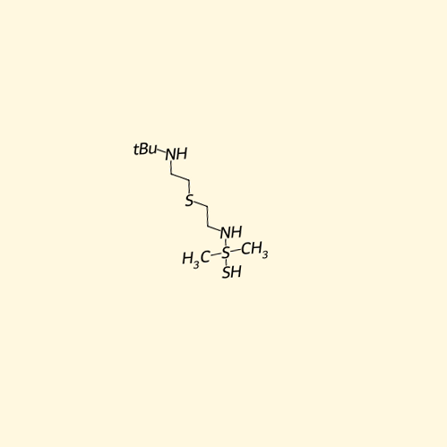 CC(C)(C)NCCSCCNS(C)(C)S